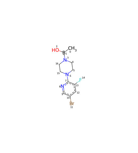 CB(O)N1CCN(c2ncc(Br)cc2F)CC1